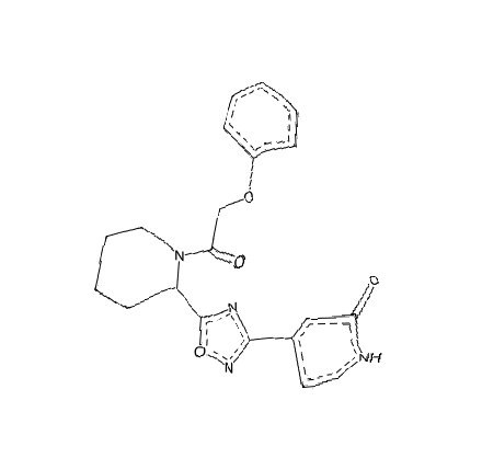 O=C(COc1ccccc1)N1CCCCC1c1nc(-c2cc[nH]c(=O)c2)no1